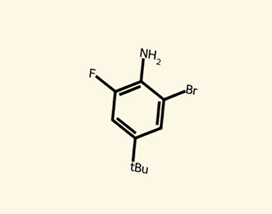 CC(C)(C)c1cc(F)c(N)c(Br)c1